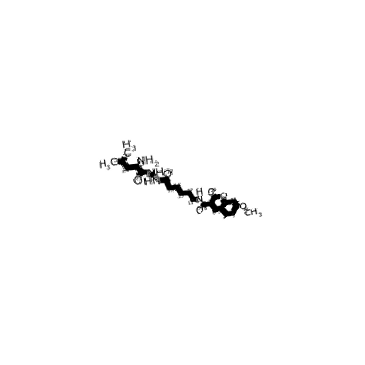 COc1ccc2cc(C(=O)NCCCCCC(=O)NNC(=O)[C@@H](N)CC(C)C)c(=O)oc2c1